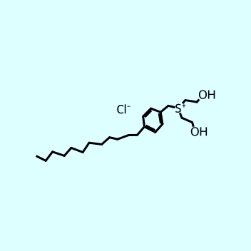 CCCCCCCCCCCCc1ccc(C[S+](CCO)CCO)cc1.[Cl-]